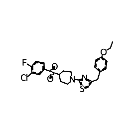 CCOc1ccc(Cc2csc(N3CCC(S(=O)(=O)c4ccc(F)c(Cl)c4)CC3)n2)cc1